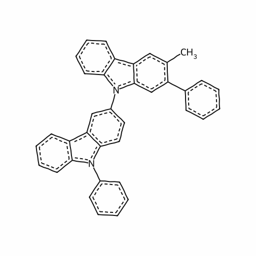 Cc1cc2c3ccccc3n(-c3ccc4c(c3)c3ccccc3n4-c3ccccc3)c2cc1-c1ccccc1